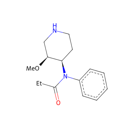 CCC(=O)N(c1ccccc1)[C@@H]1CCNC[C@@H]1OC